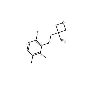 Cc1cnc(F)c(OCC2(N)COC2)c1C